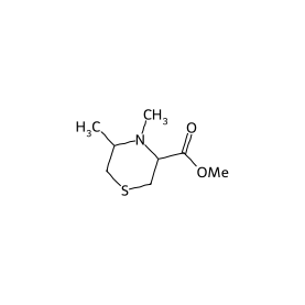 COC(=O)C1CSCC(C)N1C